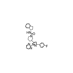 O=C(N[C@H]1CCc2ccccc21)N1CCCC(c2cc(-c3ccc(F)cc3)nn2-c2ncccn2)C1